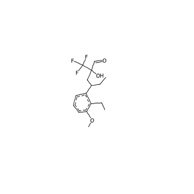 CCc1c(OC)cccc1C(CC)CC(O)(C=O)C(F)(F)F